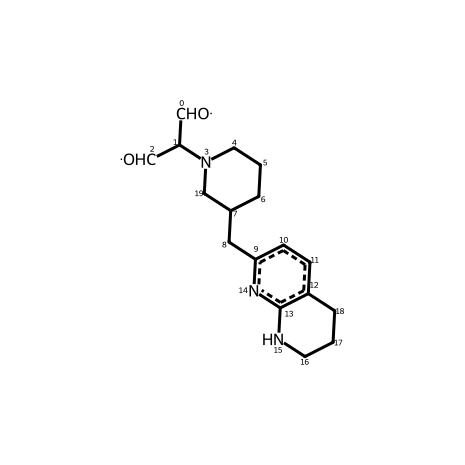 O=[C]C([C]=O)N1CCCC(Cc2ccc3c(n2)NCCC3)C1